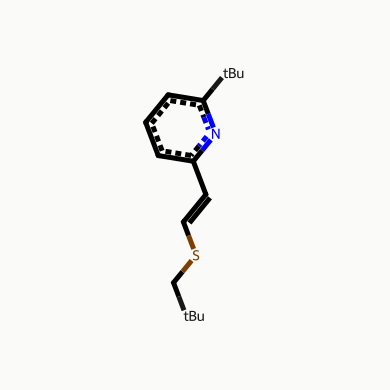 CC(C)(C)CS/C=C/c1cccc(C(C)(C)C)n1